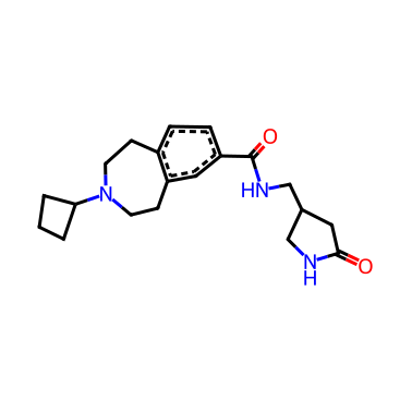 O=C1CC(CNC(=O)c2ccc3c(c2)CCN(C2CCC2)CC3)CN1